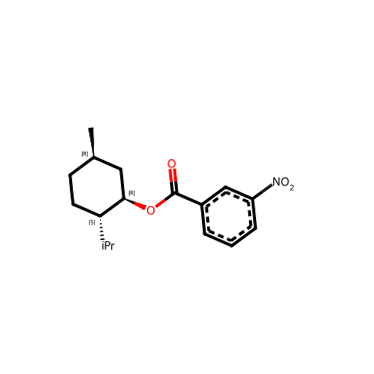 CC(C)[C@@H]1CC[C@@H](C)C[C@H]1OC(=O)c1cccc([N+](=O)[O-])c1